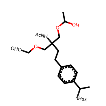 CCCCCCC(C)c1ccc(CCC(COCC=O)(COC(C)O)NC(C)=O)cc1